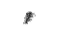 CNC(C)(C)C(=O)Nc1cc(F)c2c(c1O)C(=O)C1=C(O)[C@]3(O)C(=O)C(C(N)=O)=C(O)[C@@H](N(C)C)[C@@H]3C[C@@H]1C2